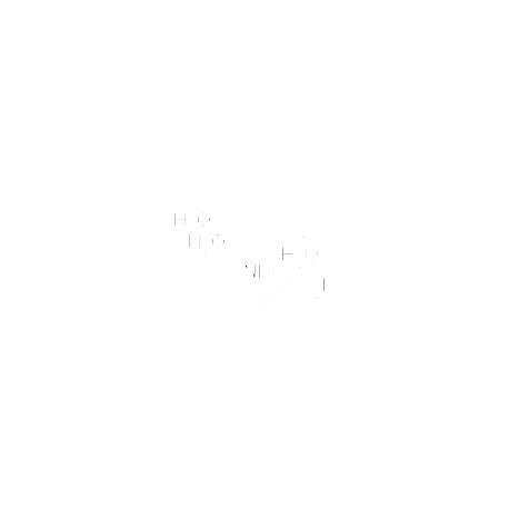 CC(=O)O.N.O.O.O